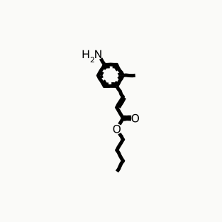 CCCCOC(=O)/C=C/c1ccc(N)cc1C